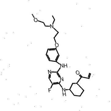 C=CC(=O)C1CCC[C@@H](Nc2nc(Nc3cccc(OCCN(CC)CCOC)c3)ncc2F)C1